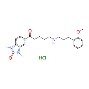 COc1ccccc1CCCNCCCCC(=O)c1ccc2c(c1)n(C)c(=O)n2C.Cl